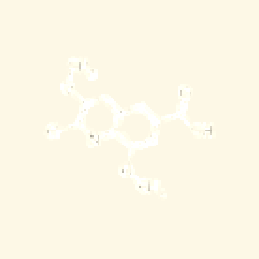 COc1cc2cc(C(=O)O)cc(OC)c2nc1Cl